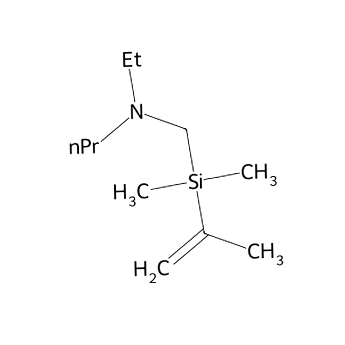 C=C(C)[Si](C)(C)CN(CC)CCC